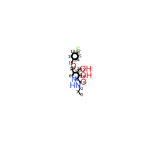 CCCNC(=O)c1ncc(COCc2ccc(F)cc2)c(CO)c1O